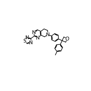 Cc1ccc(C2(c3ccc(N4CCc5cnc(-c6ncsn6)nc5C4)cc3)COC2)cc1